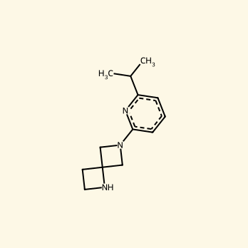 CC(C)c1cccc(N2CC3(CCN3)C2)n1